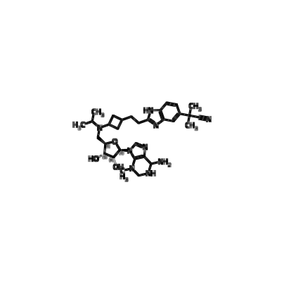 CC(C)N(C[C@H]1O[C@@H](n2cnc3c2N(C)CNC3N)[C@H](O)[C@@H]1O)C1CC(CCc2nc3cc(C(C)(C)C#N)ccc3[nH]2)C1